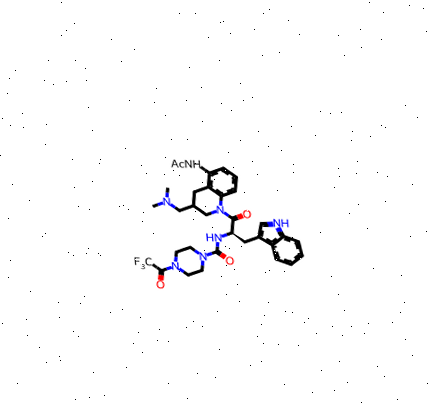 CC(=O)Nc1cccc2c1CC(CN(C)C)CN2C(=O)[C@@H](Cc1c[nH]c2ccccc12)NC(=O)N1CCN(C(=O)C(F)(F)F)CC1